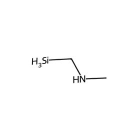 CNC[SiH3]